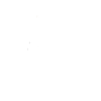 CC1(C)c2cc(-c3cccc4cc5ccccc5cc34)ccc2-c2ccc(-c3cc(S)cc4cc5ccccc5cc34)cc21